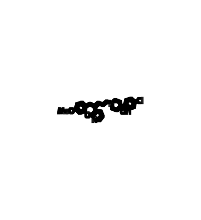 COc1ccc2c(c1)Oc1ncccc1/C(=C\CCN1CCC(O)(c3ccc(Cl)cc3)CC1)C2